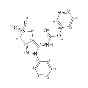 O=C(Nc1c2c(nn1-c1ccccc1)CS(=O)(=O)C2)Oc1ccccc1